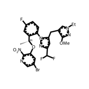 CCn1cc(Cc2cc(C(F)F)nn2-c2ccc(F)cc2[C@@H](C)Oc2cc(Br)cnc2[N+](=O)[O-])c(OC)n1